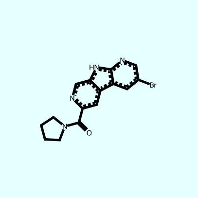 O=C(c1cc2c(cn1)[nH]c1ncc(Br)cc12)N1CCCC1